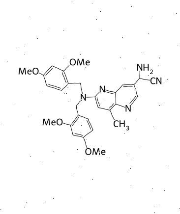 COc1ccc(CN(Cc2ccc(OC)cc2OC)c2cc(C)c3ncc(C(N)C#N)cc3n2)c(OC)c1